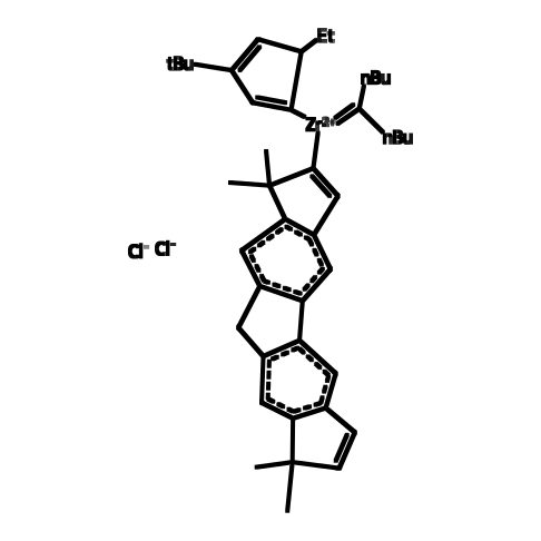 CCCC[C](CCCC)=[Zr+2]([C]1=CC(C(C)(C)C)=CC1CC)[C]1=Cc2cc3c(cc2C1(C)C)Cc1cc2c(cc1-3)C=CC2(C)C.[Cl-].[Cl-]